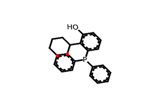 Oc1cccc(P(c2ccccc2)c2ccccc2)c1C1CCCCC1